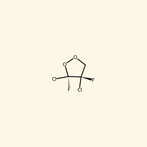 F[C@]1(Cl)COO[C@]1(F)Cl